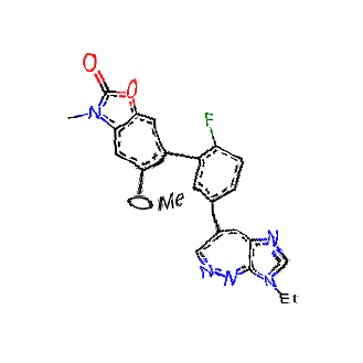 CCn1cnc2c(-c3ccc(F)c(-c4cc5oc(=O)n(C)c5cc4OC)c3)cnnc21